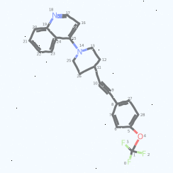 FC(F)(F)Oc1ccc(C#CC2CCN(c3ccnc4ccccc34)CC2)cc1